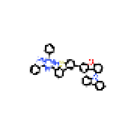 c1ccc(C2=NC(c3cccc4c3sc3ccc(-c5ccc6c(c5)oc5cccc(-n7c8ccccc8c8ccccc87)c56)cc34)NC(c3ccccc3)N2)cc1